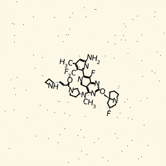 Cc1cc(N)nc(-c2ncc3c(N(C)[C@@H]4CCN(C(=O)/C=C/[C@H]5CCN5)C4)nc(OC[C@@]45CCCN4C[C@H](F)C5)nc3c2F)c1C(F)(F)F